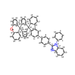 c1ccc(-n2c(-c3ccc(-c4ccc5c(c4)-c4ccccc4C54c5ccccc5C5(c6ccccc6Oc6ccccc65)c5ccccc54)cc3)nc3ccccc32)cc1